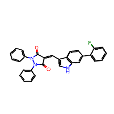 O=C1C(=Cc2c[nH]c3cc(-c4ccccc4F)ccc23)C(=O)N(c2ccccc2)N1c1ccccc1